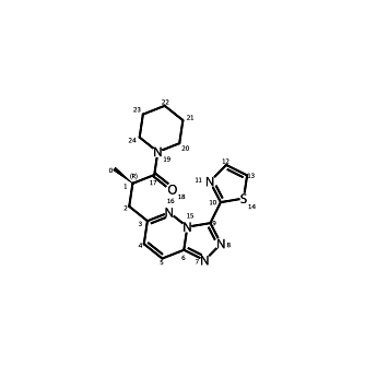 C[C@H](Cc1ccc2nnc(-c3nccs3)n2n1)C(=O)N1CCCCC1